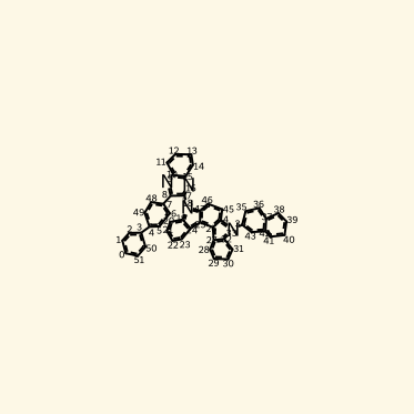 c1ccc(-c2ccc(-c3nc4ccccc4nc3-n3c4ccccc4c4c5c6ccccc6n(-c6ccc7ccccc7c6)c5ccc43)cc2)cc1